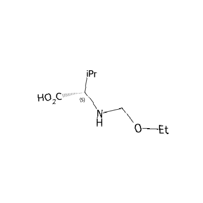 CCOCN[C@H](C(=O)O)C(C)C